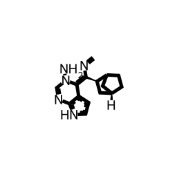 C=N/C(=C1/c2cc[nH]c2N=CN1N)[C@@H]1C[C@H]2CCC1C2